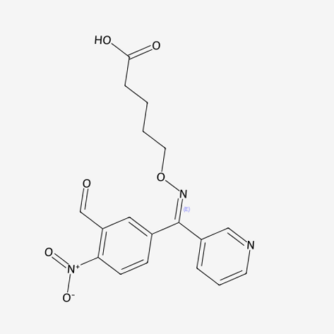 O=Cc1cc(/C(=N\OCCCCC(=O)O)c2cccnc2)ccc1[N+](=O)[O-]